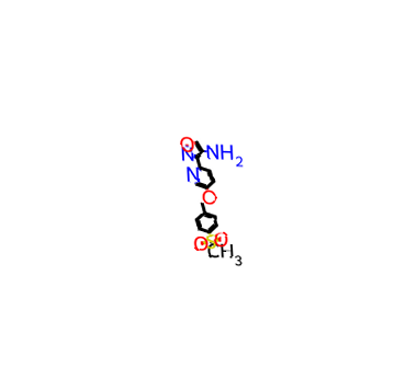 CS(=O)(=O)c1ccc(COc2ccc(-c3nocc3N)nc2)cc1